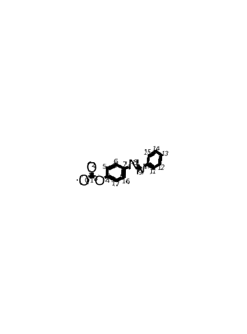 [O]C(=O)Oc1ccc(N=Nc2ccccc2)cc1